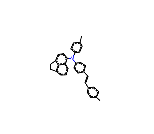 Cc1ccc(C=Cc2ccc(N(c3ccc(C)cc3)c3ccc4c5c(cccc35)CC4)cc2)cc1